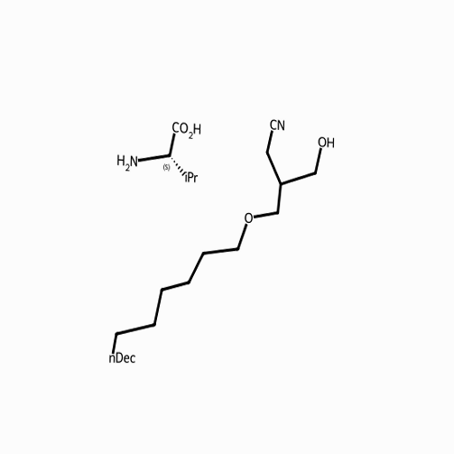 CC(C)[C@H](N)C(=O)O.CCCCCCCCCCCCCCCCOCC(CO)CC#N